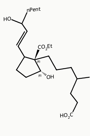 CCCCCC(O)C=CC1CC[C@@H](O)[C@]1(CCCC(C)CCC(=O)O)C(=O)OCC